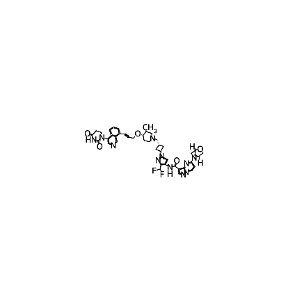 C[C@H]1CN(C[C@H]2C[C@H](n3cc(NC(=O)c4cnn5ccc(N6C[C@H]7C[C@@H]6CO7)nc45)c(C(F)F)n3)C2)CC[C@@H]1OCC#Cc1cccc2c(N3CCC(=O)NC3=O)cncc12